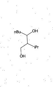 CCCCC(O)C(CO)C(C)C